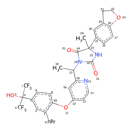 CCCc1cc(C(O)(C(F)(F)F)C(F)(F)F)ccc1Oc1ccnc(C(C)N2C(=O)NC(C)(c3ccc4c(c3)CCO4)C2=O)c1